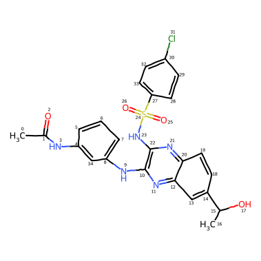 CC(=O)Nc1cccc(Nc2nc3cc(C(C)O)ccc3nc2NS(=O)(=O)c2ccc(Cl)cc2)c1